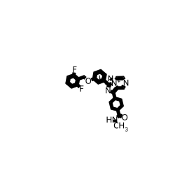 CNC(=O)C1CCC(C2=C3C=NC=C[N+]3(N)C(c3cccc(OCc4c(F)cccc4F)c3)=N2)CC1